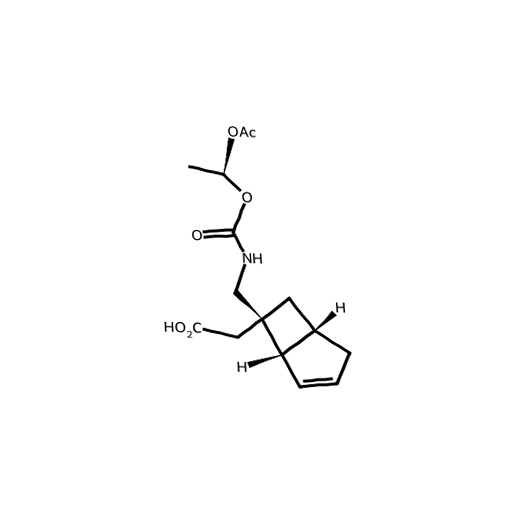 CC(=O)O[C@H](C)OC(=O)NC[C@@]1(CC(=O)O)C[C@@H]2CC=C[C@@H]21